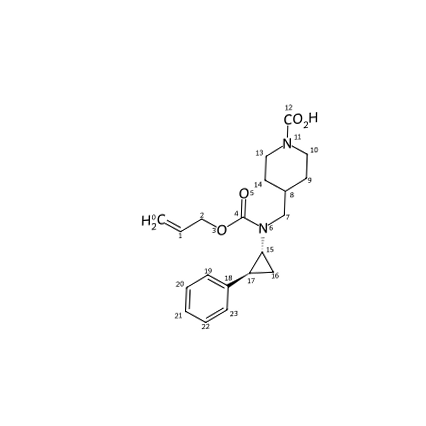 C=CCOC(=O)N(CC1CCN(C(=O)O)CC1)[C@@H]1C[C@H]1c1ccccc1